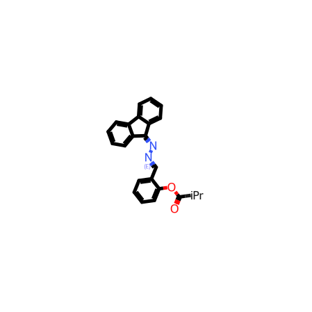 CC(C)C(=O)Oc1ccccc1/C=N/N=C1c2ccccc2-c2ccccc21